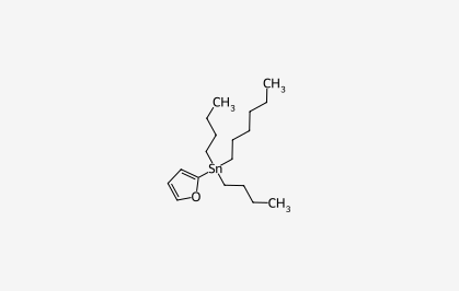 CCCCC[CH2][Sn]([CH2]CCC)([CH2]CCC)[c]1ccco1